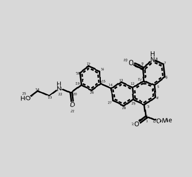 COC(=O)c1cc2cc[nH]c(=O)c2c2cc(-c3cccc(C(=O)NCCO)c3)ccc12